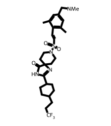 CNCc1cc(C)c(/C=C/S(=O)(=O)N2CCC3(CC2)N=C(C2CCC(CCC(F)(F)F)CC2)NC3=O)c(C)c1